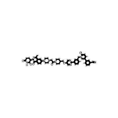 Cc1nn(C2CCC(=O)NC2=O)c(=O)c2ccc(N3CCN(CC(=O)N4CCC(COc5cnc(-c6cccc(Cn7nc(-c8cccc(C#N)c8)ccc7=O)c6)nc5)CC4)CC3)cc12